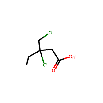 CCC(Cl)(CCl)CC(=O)O